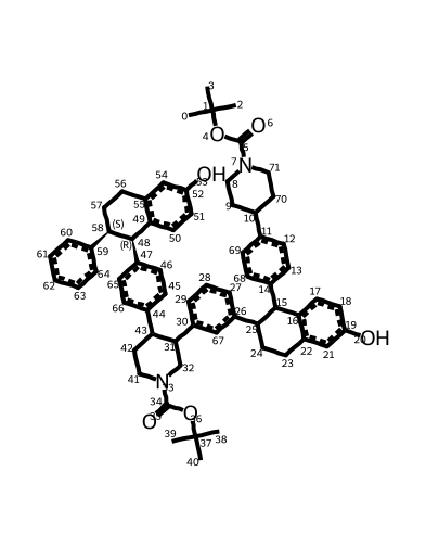 CC(C)(C)OC(=O)N1CCC(c2ccc(C3c4ccc(O)cc4CCC3c3cccc(C4CN(C(=O)OC(C)(C)C)CCC4c4ccc([C@@H]5c6ccc(O)cc6CC[C@@H]5c5ccccc5)cc4)c3)cc2)CC1